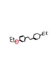 CCOc1ccc(CCC2=CCC(CC)CC2)cc1